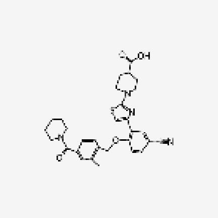 Cc1cc(C(=O)N2CCCCC2)ccc1COc1ccc(C#N)cc1-c1csc(N2CCC(C(=O)O)CC2)n1